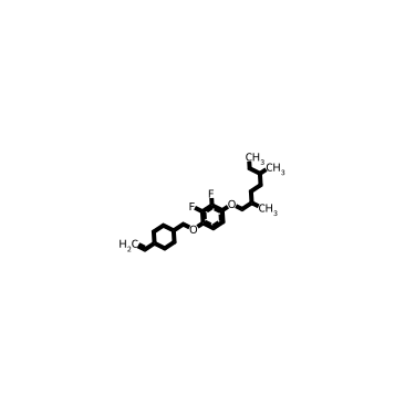 C=CC1CCC(COc2ccc(OCC(C)CCC(C)CC)c(F)c2F)CC1